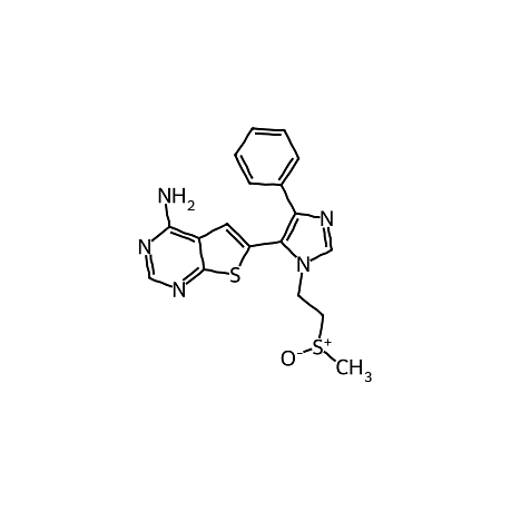 C[S+]([O-])CCn1cnc(-c2ccccc2)c1-c1cc2c(N)ncnc2s1